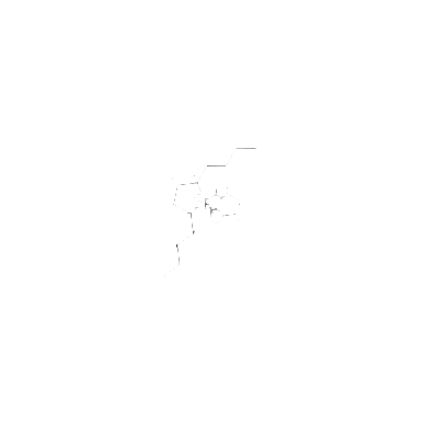 CCCCC1CCC(CCCC)[Si]1(OC)OC